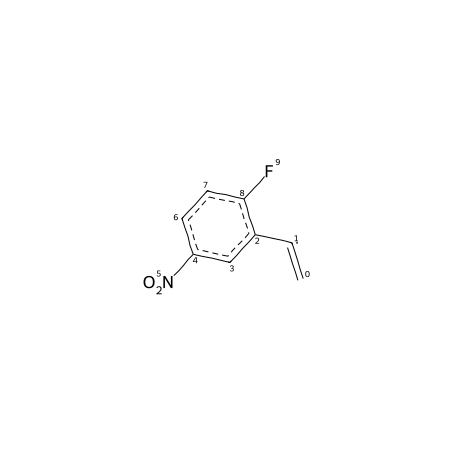 C=[C]c1cc([N+](=O)[O-])ccc1F